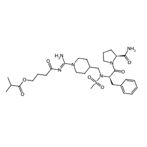 CC(C)C(=O)OCCCC(=O)N=C(N)N1CCC(CN([C@H](Cc2ccccc2)C(=O)N2CCC[C@H]2C(N)=O)S(C)(=O)=O)CC1